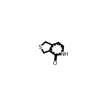 O=c1[nH]ccc2c1CSC2